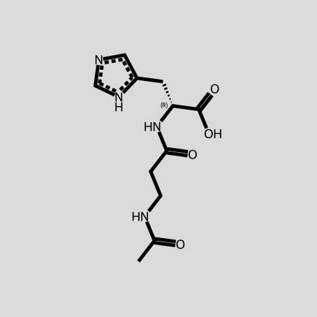 CC(=O)NCCC(=O)N[C@H](Cc1cnc[nH]1)C(=O)O